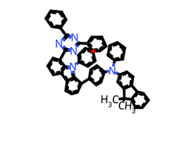 CC1(C)c2ccccc2-c2ccc(N(c3ccccc3)c3ccc(-c4cccc5c6cccc(-c7nc(-c8ccccc8)nc(-c8ccccc8)n7)c6n(-c6ccccc6)c45)cc3)cc21